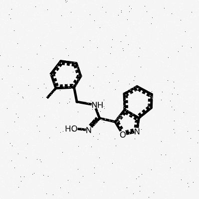 Cc1ccccc1CN/C(=N\O)c1onc2ccccc12